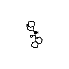 O=C(NC1CCN2CCCC1C2)c1cccc2c1CCCC2